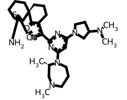 C[C@H]1CN(C)CCCN1c1cc(N2CCC(N(C)C)C2)nc(-c2noc3c2CCC[C@@]32CCCc3sc(N)c(C#N)c32)n1